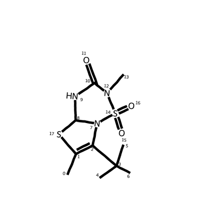 CC1=C(C(C)(C)C)N2C(NC(=O)N(C)S2(=O)=O)S1